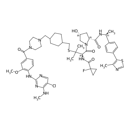 CNc1nc(Nc2ccc(C(=O)N3CCN(CC4CCC(CSC(C)(C)[C@H](NC(=O)C5(F)CC5)C(=O)N5C[C@H](O)C[C@@H]5C(=O)N[C@@H](C)c5ccc(-c6scnc6C)cc5)CC4)CC3)cc2OC)ncc1Cl